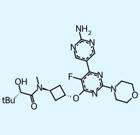 CN(C(=O)[C@@H](O)C(C)(C)C)[C@H]1C[C@H](Oc2nc(N3CCOCC3)nc(-c3cnc(N)nc3)c2F)C1